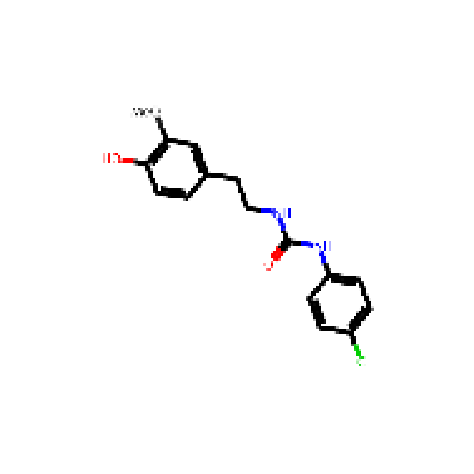 COc1cc(CCNC(=O)Nc2ccc(Cl)cc2)ccc1O